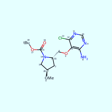 CO[C@@H]1C[C@@H](COc2c(N)ncnc2Cl)N(C(=O)OC(C)(C)C)C1